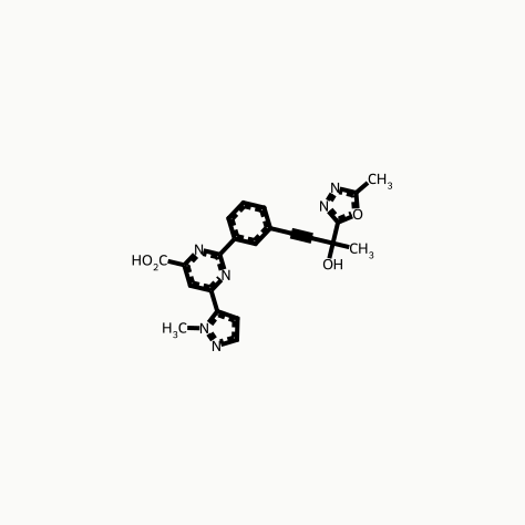 Cc1nnc(C(C)(O)C#Cc2cccc(-c3nc(C(=O)O)cc(-c4ccnn4C)n3)c2)o1